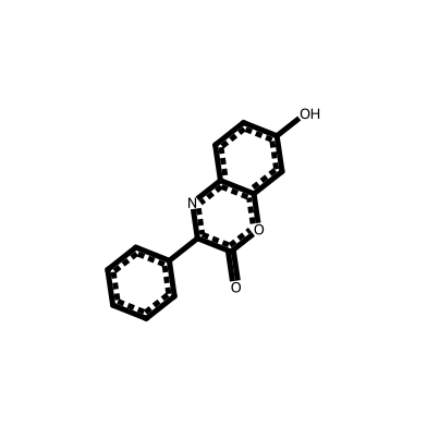 O=c1oc2cc(O)ccc2nc1-c1ccccc1